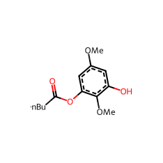 CCC[CH]C(=O)Oc1cc(OC)cc(O)c1OC